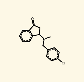 CN(Cc1ccc(Cl)cc1)C1CC(=O)c2ccccc21